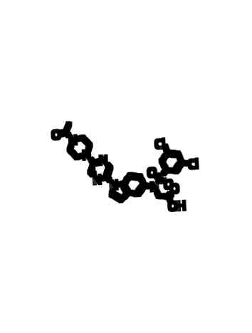 CC(=O)N1CCN(c2cnc(-n3ccc4cc(N(CC(=O)O)S(=O)(=O)C5C=C(Cl)C=C(Cl)C5)ccc43)cn2)CC1